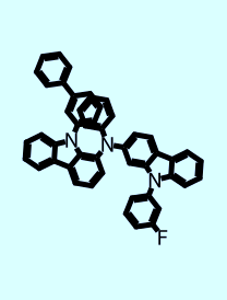 Fc1cccc(-n2c3ccccc3c3ccc(N(c4ccccc4)c4cccc5c6ccccc6n(-c6cccc(-c7ccccc7)c6)c45)cc32)c1